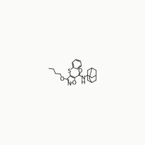 CCCCOc1noc(C(=O)NC23CC4CC(CC(C4)C2)C3)c1Sc1ccccc1